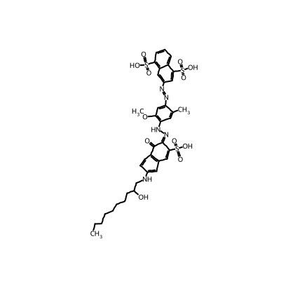 CCCCCCCCC(O)CNc1ccc2c(c1)C=C(S(=O)(=O)O)/C(=N/Nc1cc(C)c(/N=N/c3cc(S(=O)(=O)O)c4cccc(S(=O)(=O)O)c4c3)cc1OC)C2=O